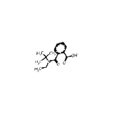 CCN(C(=O)c1ccccc1C(=O)O)C(C)(C)C